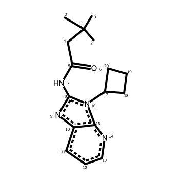 CC(C)(C)CC(=O)Nc1nc2cccnc2n1C1CCC1